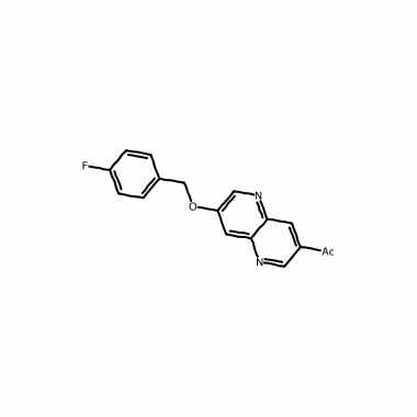 CC(=O)c1cnc2cc(OCc3ccc(F)cc3)cnc2c1